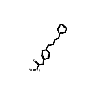 O=C(CC1=CCC(CCCCc2ccccc2)C=C1)NO